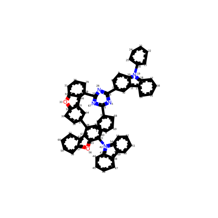 c1ccc(-c2nc(-c3ccc4c(c3)c3ccccc3n4-c3ccccc3)nc(-c3cccc4oc5ccc(-c6ccc(-n7c8ccccc8c8ccccc87)c7oc8ccccc8c67)cc5c34)n2)cc1